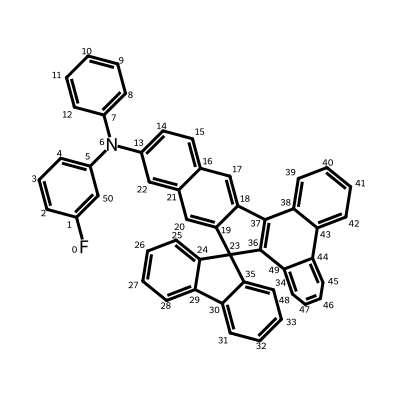 Fc1cccc(N(c2ccccc2)c2ccc3cc4c(cc3c2)C2(c3ccccc3-c3ccccc32)c2c-4c3ccccc3c3ccccc23)c1